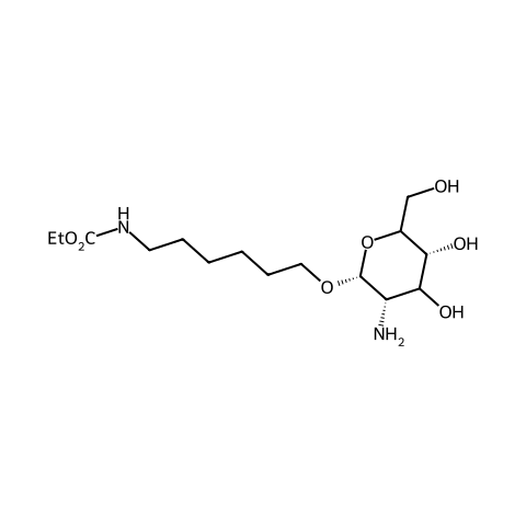 CCOC(=O)NCCCCCCO[C@@H]1OC(CO)[C@H](O)C(O)[C@@H]1N